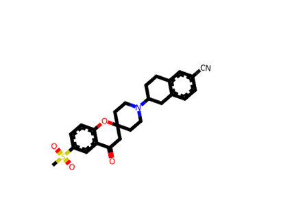 CS(=O)(=O)c1ccc2c(c1)C(=O)CC1(CCN(C3CCc4cc(C#N)ccc4C3)CC1)O2